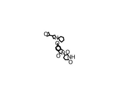 O=C1CCC(N2Cc3cc(O[C@@H]4CCCC[C@H]4N4CC(C5COC5)C4)ccc3C2=O)C(=O)N1